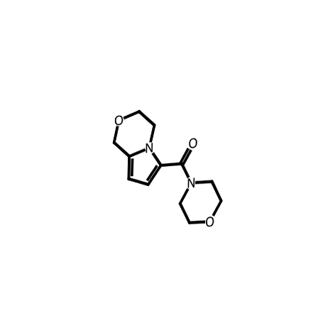 O=C(c1ccc2n1CCOC2)N1CCOCC1